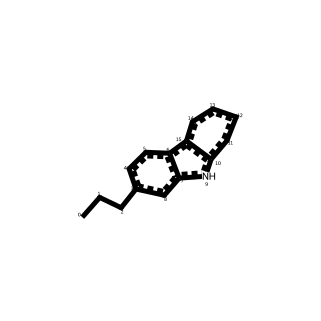 CCCc1ccc2c(c1)[nH]c1ccccc12